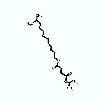 CC(C)CCCCCCCCCCOC(=O)C=CC(=O)OC(C)C